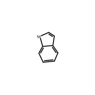 c1ccc2[se]ccc2c1